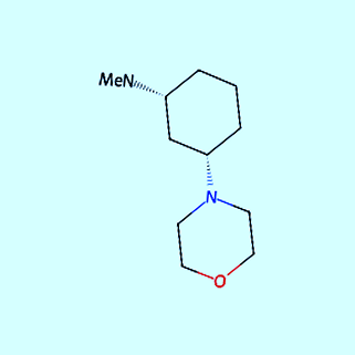 CN[C@@H]1CCC[C@H](N2CCOCC2)C1